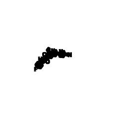 CCn1c(=O)c(C(=O)NC(C)(C)c2ccc(F)cc2)cc2cc(-c3ccc(C#N)cn3)cnc21